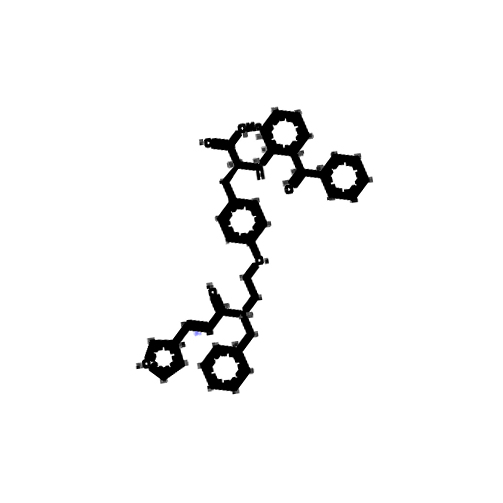 COC(=O)[C@H](Cc1ccc(OCCN(Cc2ccccc2)C(=O)/C=C/c2ccoc2)cc1)Nc1ccccc1C(=O)c1ccccc1